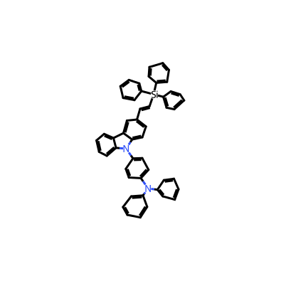 C(=C\[Si](c1ccccc1)(c1ccccc1)c1ccccc1)/c1ccc2c(c1)c1ccccc1n2-c1ccc(N(c2ccccc2)c2ccccc2)cc1